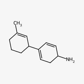 CC1=CC(C2=CCC(N)C=C2)CCC1